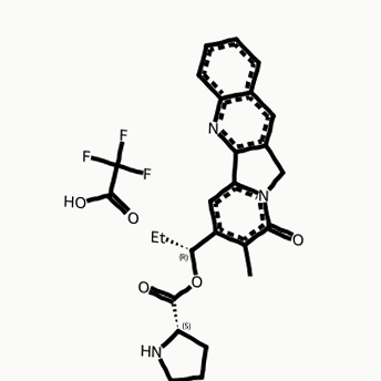 CC[C@@H](OC(=O)[C@@H]1CCCN1)c1cc2n(c(=O)c1C)Cc1cc3ccccc3nc1-2.O=C(O)C(F)(F)F